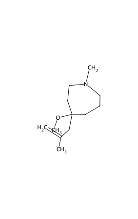 C=C(C)CC1(OC)CCCN(C)CC1